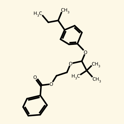 CCC(C)c1ccc(OC(OCCOC(=O)c2ccccc2)C(C)(C)C)cc1